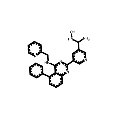 NC(NO)c1cncc(-c2nc(NCc3ccccn3)c3c(-c4ccccc4)cccc3n2)c1